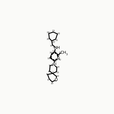 Cc1nc(N2CCC3(CCCOC3)CC2)ccc1NCC1CCCCC1